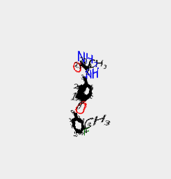 CC(NCc1ccc(OCC2=CC(C)(F)C=CC=C2)cc1)C(N)=O